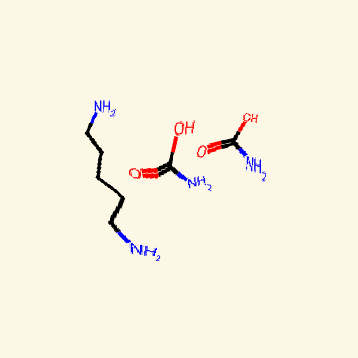 NC(=O)O.NC(=O)O.NCCCCCN